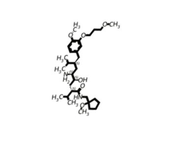 COCCCOc1cc(C[C@@H](C[C@H](N)[C@@H](O)C[C@H](C(=O)NCC2(OC)CCCC2)C(C)C)C(C)C)ccc1OC